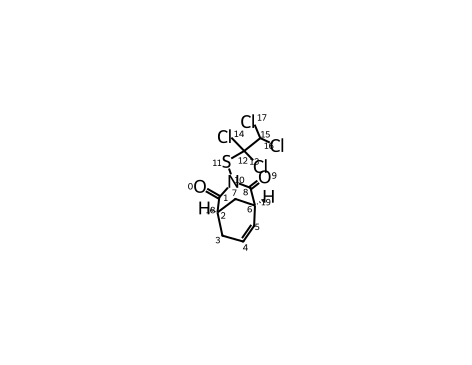 O=C1[C@@H]2CC=C[C@@H](C2)C(=O)N1SC(Cl)(Cl)C(Cl)Cl